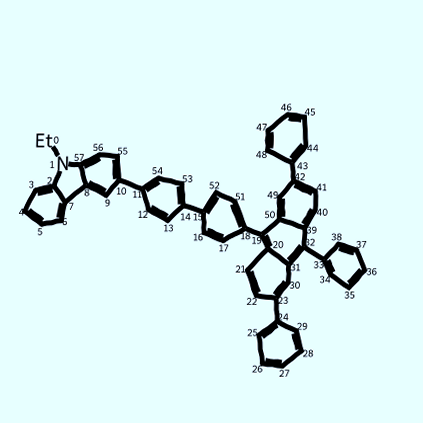 CCn1c2ccccc2c2cc(-c3ccc(-c4ccc(-c5c6ccc(-c7ccccc7)cc6c(-c6ccccc6)c6ccc(-c7ccccc7)cc56)cc4)cc3)ccc21